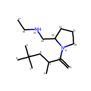 C=C(C(C)CC(C)(C)C)N1CCCC1CNCC